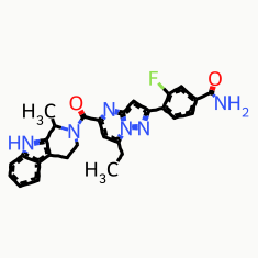 CCc1cc(C(=O)N2CCc3c([nH]c4ccccc34)C2C)nc2cc(-c3ccc(C(N)=O)cc3F)nn12